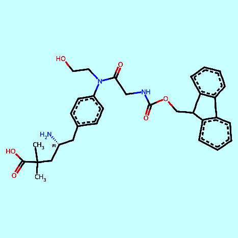 CC(C)(C[C@H](N)Cc1ccc(N(CCO)C(=O)CNC(=O)OCC2c3ccccc3-c3ccccc32)cc1)C(=O)O